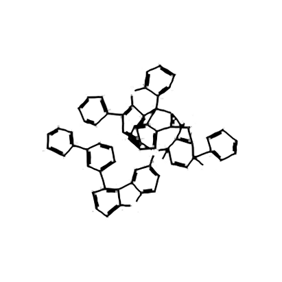 CC1C2=C3C(C)C4=C1C(C)(c1ccccc1)C=CC4(C)N(c1ccc4oc5cccc(-c6cccc(-c7ccccc7)c6)c5c4c1)c1cc(-c4ccccc4)c4c(c1)C3(c1ccccc1S4)c1ccccc12